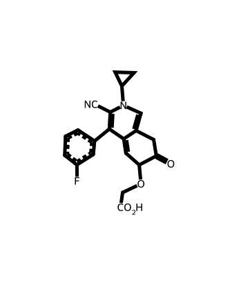 N#CC1=C(c2cccc(F)c2)C2=CC(OCC(=O)O)C(=O)CC2=CN1C1CC1